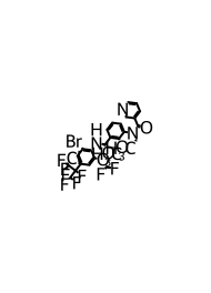 CCN(C(=O)c1cccnc1)c1cccc(C(=O)Nc2c(Br)cc(C(F)(C(F)(F)F)C(F)(F)Cl)cc2OC(F)F)c1OC